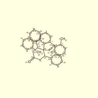 Cc1ccccc1-c1cccc(-c2ccccc2C)c1C1(P(=O)=O)C(c2ccccc2)CC(=O)CC1c1ccccc1